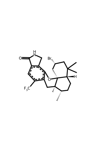 C[C@H]1CC[C@H]2C(C)(C)C[C@@H](Br)C[C@]23Oc2c4c(cc(C(F)(F)F)c2C[C@]13C)C(=O)NC4